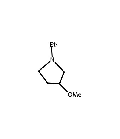 C[CH]N1CCC(OC)C1